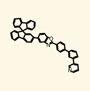 c1cncc(-c2cccc(-c3ccc(-c4nc5cc(-c6ccc7c(c6)C6(c8ccccc8-c8ccccc86)c6ccccc6-7)ccc5o4)cc3)c2)c1